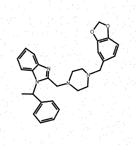 CC(c1ccccc1)n1c(CN2CCN(Cc3ccc4c(c3)OCO4)CC2)nc2ccccc21